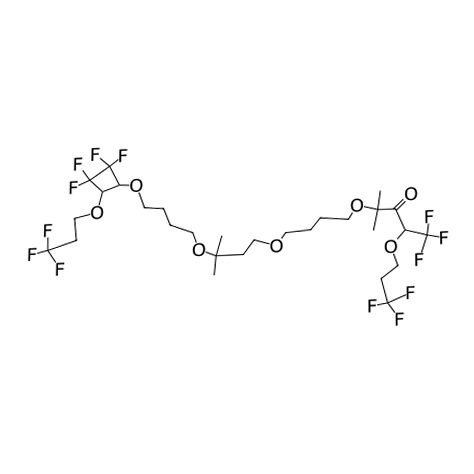 CC(C)(CCOCCCCOC(C)(C)C(=O)C(OCCC(F)(F)F)C(F)(F)F)OCCCCOC1C(OCCC(F)(F)F)C(F)(F)C1(F)F